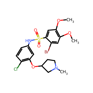 COc1cc(Br)c(S(=O)(=O)Nc2ccc(Cl)c(OC3CCN(C)C3)c2)cc1OC